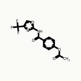 CC(=O)Oc1ccc(C(=O)Nc2nc(C(F)(F)F)co2)cc1